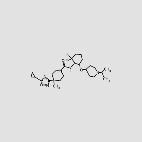 CC(C)N1CCC(O[C@H]2CCCC(F)(F)[C@@H]2NC(=O)N2CCC(C)(c3noc(C4CC4)n3)CC2)CC1